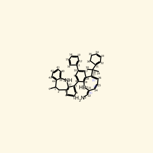 CC1Cc2cccc(-c3cc(-c4ccccc4)cc4c3BC(=C\N)/C=C\C=C/4C(C)(C)C3=CC=CCC3)c2Nc2ccccc21